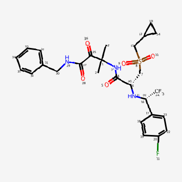 CC(C)(NC(=O)[C@H](CS(=O)(=O)CC1CC1)N[C@@H](c1ccc(F)cc1)C(F)(F)F)C(=O)C(=O)NCc1ccccc1